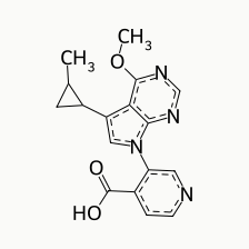 COc1ncnc2c1c(C1CC1C)cn2-c1cnccc1C(=O)O